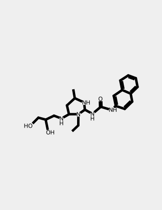 CCN1C(NCC(O)CO)CC(C)NC1NC(=O)Nc1ccc2ccccc2c1